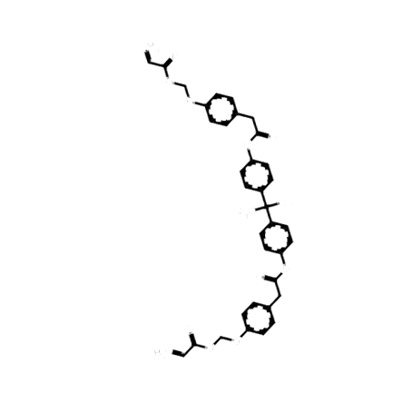 C=CC(=O)OCOc1ccc(CC(=O)Oc2ccc(C(c3ccc(OC(=O)Cc4ccc(OCOC(=O)C=C)cc4)cc3)(C(F)(F)F)C(F)(F)F)cc2)cc1